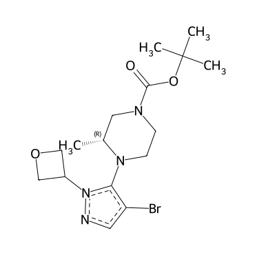 C[C@@H]1CN(C(=O)OC(C)(C)C)CCN1c1c(Br)cnn1C1COC1